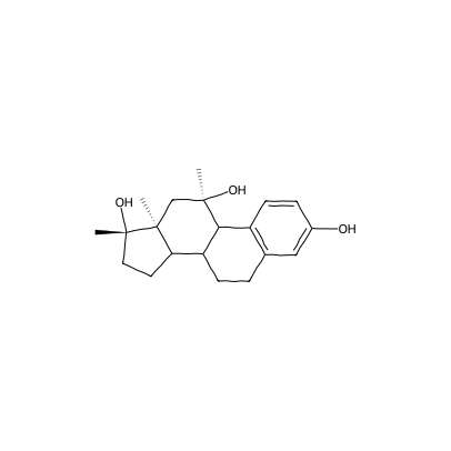 C[C@]1(O)CCC2C3CCc4cc(O)ccc4C3[C@](C)(O)C[C@@]21C